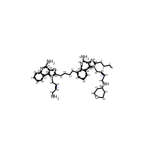 CCCCc1nc2c(N)nc3c(CCCCc4nc5c(N)nc6ccccc6c5n4C/C=C\CN)cccc3c2n1C/C=C\CNC1CCOCC1